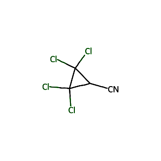 N#CC1C(Cl)(Cl)C1(Cl)Cl